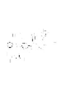 CCC[C@H](c1coc2c(CO[Si](C)(C)C(C)(C)C)c(OCc3ccccc3)c(CC(C)C)cc12)[C@@H]1C[C@@H](O[Si](C)(C)C(C)(C)C)C2(OC2CC)C(=O)O1